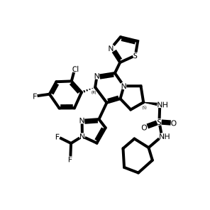 O=S(=O)(NC1CCCCC1)N[C@H]1CC2=C(c3ccn(C(F)F)n3)[C@H](c3ccc(F)cc3Cl)N=C(c3nccs3)N2C1